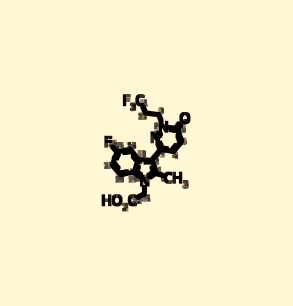 Cc1c(-c2ccc(=O)n(CCC(F)(F)F)n2)c2cc(F)ccc2n1CC(=O)O